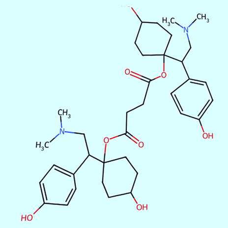 CN(C)CC(c1ccc(O)cc1)C1(OC(=O)CCC(=O)OC2(C(CN(C)C)c3ccc(O)cc3)CCC(O)CC2)CCC(O)CC1